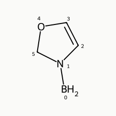 BN1C=COC1